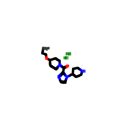 Cl.Cl.O=C(O)CCOC1CCN(C(=O)c2nccn2C2CCNCC2)CC1